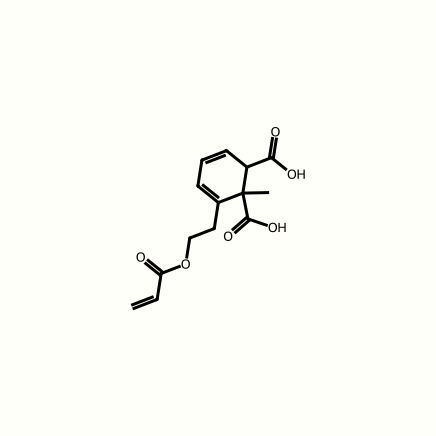 C=CC(=O)OCCC1=CC=CC(C(=O)O)C1(C)C(=O)O